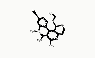 CCOC1NC=Cc2nc(C)c(C(N)=O)c(-c3ccc(C#N)cc3OC)c21